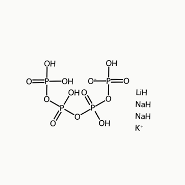 O=P([O-])(O)OP(=O)(O)OP(=O)(O)OP(=O)(O)O.[K+].[LiH].[NaH].[NaH]